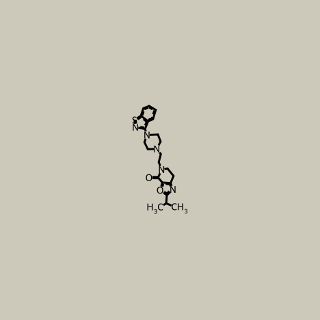 CC(C)c1nc2c(o1)C(=O)N(CCN1CCN(c3nsc4ccccc34)CC1)CC2